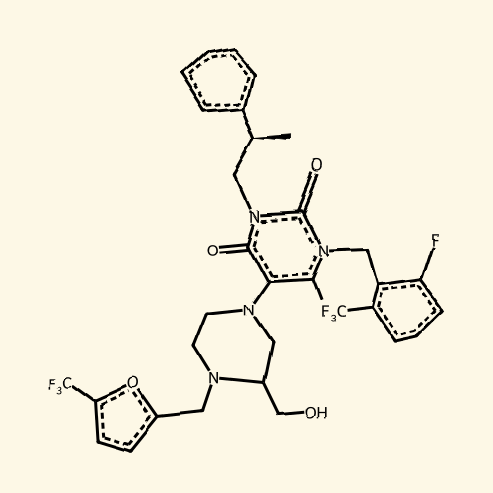 Cc1c(N2CCN(Cc3ccc(C(F)(F)F)o3)C(CO)C2)c(=O)n(C[C@H](C)c2ccccc2)c(=O)n1Cc1c(F)cccc1C(F)(F)F